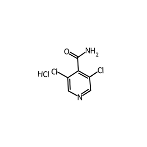 Cl.NC(=O)c1c(Cl)cncc1Cl